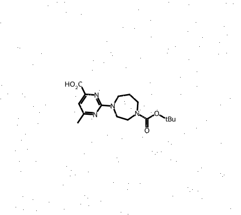 Cc1cc(C(=O)O)nc(N2CCCN(C(=O)OC(C)(C)C)CC2)n1